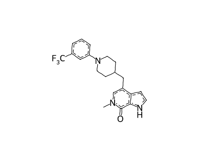 Cn1cc(CC2CCN(c3cccc(C(F)(F)F)c3)CC2)c2cc[nH]c2c1=O